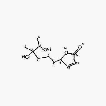 CC(O)C(C)(O)CCCC1C=CC(=O)O1